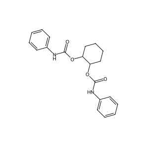 O=C(Nc1ccccc1)OC1CCCCC1OC(=O)Nc1ccccc1